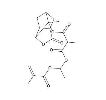 C=C(C)C(=O)OC(C)OC(=O)C(C)C(=O)OC1(C)C2CC3C(=O)OC1C3C2